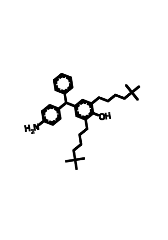 CC(C)(C)CCCCc1cc(C(c2ccccc2)c2ccc(N)cc2)cc(CCCCC(C)(C)C)c1O